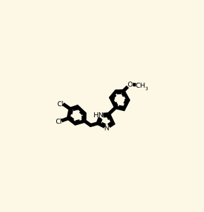 COc1ccc(-c2cnc(Cc3ccc(Cl)c(Cl)c3)[nH]2)cc1